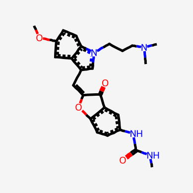 CNC(=O)Nc1ccc2c(c1)C(=O)C(=Cc1cn(CCCN(C)C)c3ccc(OC)cc13)O2